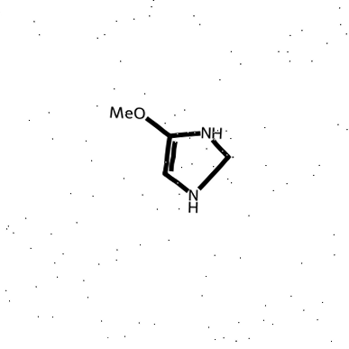 COC1=CN[CH]N1